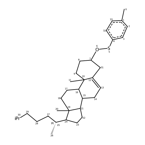 Cc1ccc(SOC2CCC3(C)C(=CCC4C3CCC3(C)C4CCC3[C@H](C)CCCC(C)C)C2)cc1